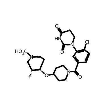 O=C1CCN(c2cc(C(=O)N3CCC(O[C@@H]4CCN(C(=O)O)C[C@H]4F)CC3)ccc2Cl)C(=O)N1